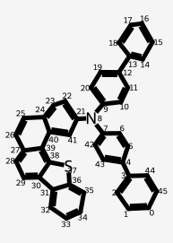 c1ccc(-c2ccc(N(c3ccc(-c4ccccc4)cc3)c3ccc4ccc5ccc6c7ccccc7sc6c5c4c3)cc2)cc1